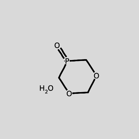 O.O=[P]1COCOC1